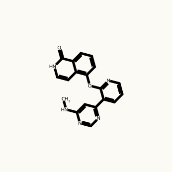 CNc1cc(-c2cccnc2Oc2cccc3c(=O)[nH]ccc23)ncn1